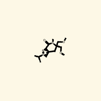 COCC1(COC)Cc2cn(C(C)C)nc2C(=O)N1C